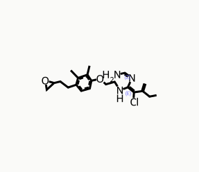 C=C(CC)/C(Cl)=C(\N=C/N)NCCOc1ccc(CCC2CO2)c(C)c1C